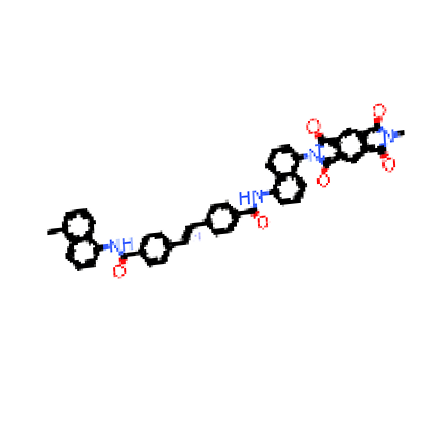 Cc1cccc2c(NC(=O)c3ccc(/C=C/c4ccc(C(=O)Nc5cccc6c(-n7c(=O)c8cc9c(=O)n(C)c(=O)c9cc8c7=O)cccc56)cc4)cc3)cccc12